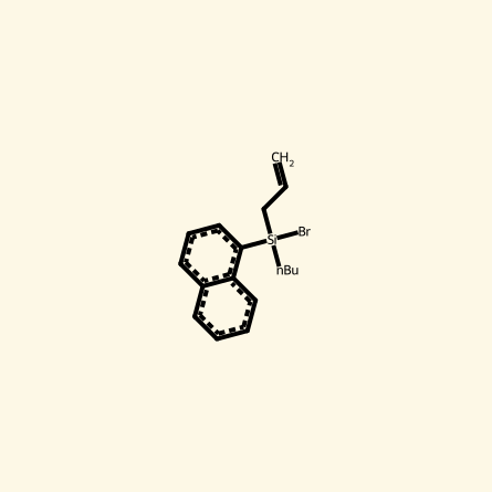 C=CC[Si](Br)(CCCC)c1cccc2ccccc12